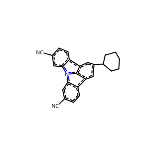 N#Cc1ccc2c3cc(C4CCCCC4)cc4c5ccc(C#N)cc5n(c2c1)c34